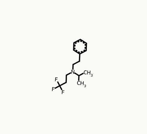 CC(C)N(CCc1ccccc1)CCC(F)(F)F